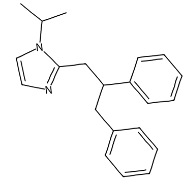 CC(C)n1ccnc1CC(Cc1ccccc1)c1ccccc1